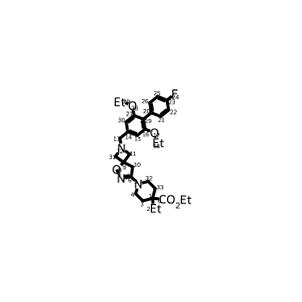 CCOC(=O)C1(CC)CCN(C2=NOC3(C2)CN(Cc2cc(OCC)c(-c4ccc(F)cc4)c(OCC)c2)C3)CC1